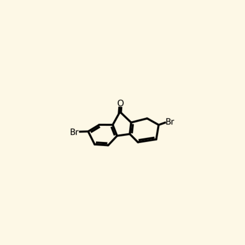 O=C1C2=C(C=CC(Br)C2)c2ccc(Br)cc21